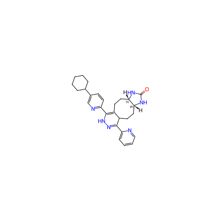 O=C1N[C@H]2CCC3=C(c4ccc(C5CCCCC5)cn4)NN=C(c4ccccn4)C3CC[C@H]2N1